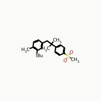 Cc1ccc(CC(C)(C)c2ccc(S(C)(=O)=O)cc2)cc1C(C)(C)C